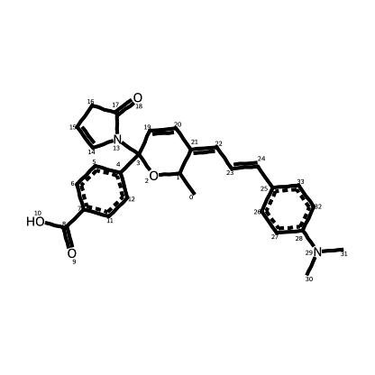 CC1OC(c2ccc(C(=O)O)cc2)(N2C=CCC2=O)C=CC1=CC=Cc1ccc(N(C)C)cc1